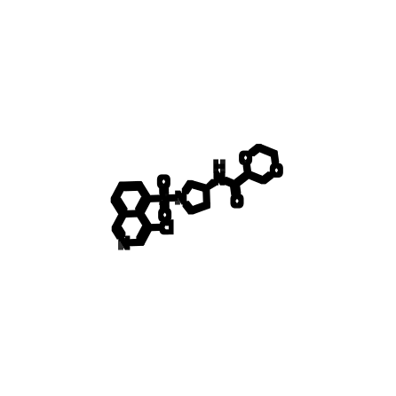 O=C(N[C@H]1CCN(S(=O)(=O)c2cccc3cncc(Cl)c23)C1)C1COCCO1